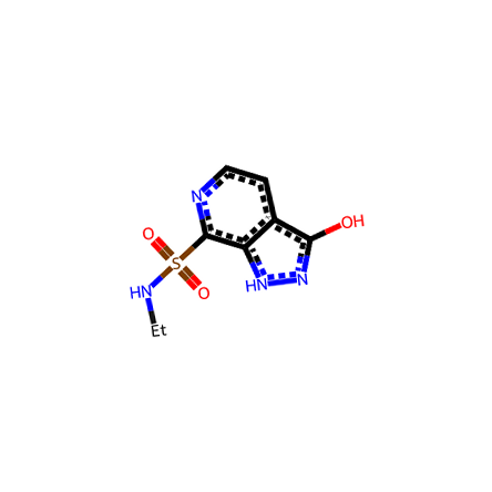 CCNS(=O)(=O)c1nccc2c(O)n[nH]c12